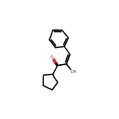 N#CC(=Cc1ccccc1)C(=O)C1CCCC1